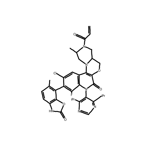 C=CC(=O)N1CC2COc3c(c4cc(Cl)c(-c5c(C)ccc6[nH]c(=O)oc56)c(F)c4n(-c4c(C(C)C)ncnc4C(C)C)c3=O)N2CC1C